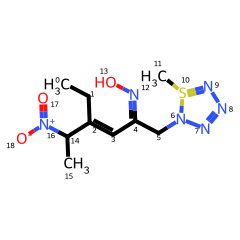 CCC(=CC(CN1N=NN=S1C)=NO)C(C)[N+](=O)[O-]